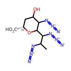 CC(N=[N+]=[N-])C(N=[N+]=[N-])C1O[C@H](C(=O)O)CC(O)C1N=[N+]=[N-]